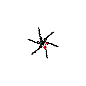 CCCCCCCCCCCC[C@H]1CC[C@H](COc2c(OC[C@H]3CC[C@H](CCCCCCCCCCCC)CC3)c(OC[C@H]3CC[C@H](CCCCCCCCCCCC)CC3)c(OC[C@H]3CC[C@H](CCCCCCCCCCCC)CC3)c(OC[C@H]3CC[C@H](CCCCCCCCCCCC)CC3)c2OC[C@H]2CC[C@H](CCCCCCCCCCCC)CC2)CC1